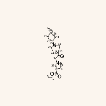 CCOC(=O)c1cnn(CC(=O)N2CCN(c3ccc(F)cc3)CC2)c1